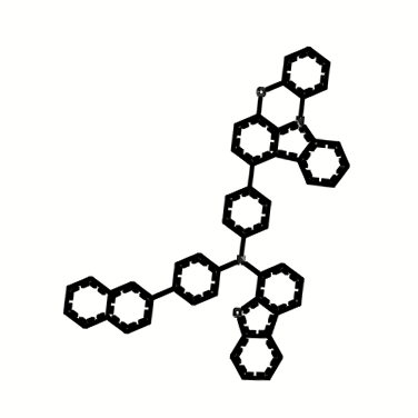 c1ccc2c(c1)Oc1ccc(-c3ccc(N(c4ccc(-c5ccc6ccccc6c5)cc4)c4cccc5c4oc4ccccc45)cc3)c3c4ccccc4n-2c13